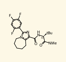 CNC(=O)[C@@H](NC(=O)c1nc(-c2cc(F)c(F)cc2F)n2c1CCCCC2)C(C)(C)C